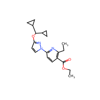 CCOC(=O)c1ccc(-n2ccc(OC(C3CC3)C3CC3)n2)nc1CC